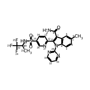 Cc1ccc2c(c1)c(C(N)=O)c(-c1ccc(S(=O)(=O)N[C@@H](C)C(F)(F)F)cn1)n2-c1ncccn1